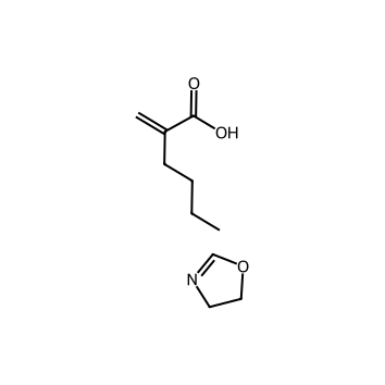 C1=NCCO1.C=C(CCCC)C(=O)O